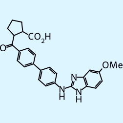 COc1ccc2[nH]c(Nc3ccc(-c4ccc(C(=O)C5CCCC5C(=O)O)cc4)cc3)nc2c1